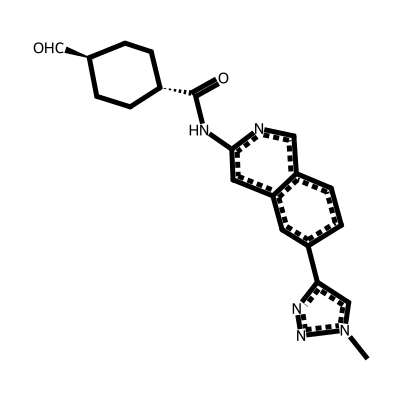 Cn1cc(-c2ccc3cnc(NC(=O)[C@H]4CC[C@H](C=O)CC4)cc3c2)nn1